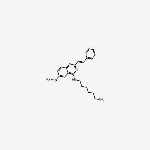 COc1ccc2nc(C=Cc3ccccn3)nc(NCCCCCCN)c2c1